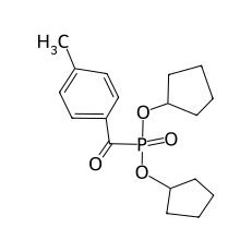 Cc1ccc(C(=O)P(=O)(OC2CCCC2)OC2CCCC2)cc1